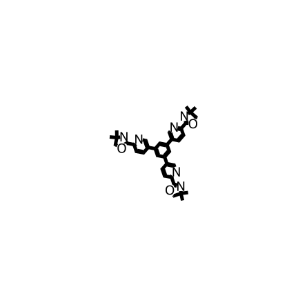 CC1(C)COC(c2ccc(-c3cc(-c4ccc(C5=NC(C)(C)CO5)nc4)cc(-c4ccc(C5=NC(C)(C)CO5)nc4)c3)cn2)=N1